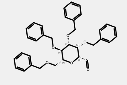 O=C[C@@H]1O[C@H](COCc2ccccc2)[C@@H](OCc2ccccc2)[C@H](OCc2ccccc2)[C@@H]1OCc1ccccc1